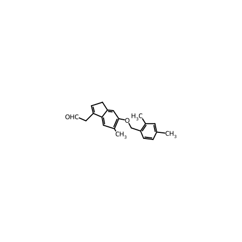 Cc1ccc(COc2cc3c(cc2C)C(CC=O)=CC3)c(C)c1